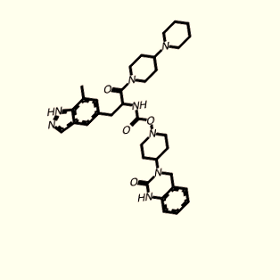 Cc1cc(CC(NC(=O)ON2CCC(N3Cc4ccccc4NC3=O)CC2)C(=O)N2CCC(N3CCCCC3)CC2)cc2cn[nH]c12